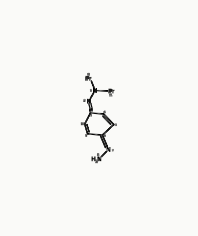 CC(C)N(N=C1C=CC(=NN)C=C1)C(C)C